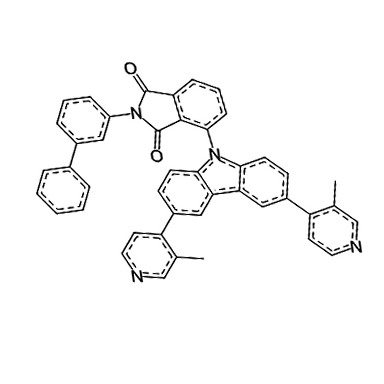 Cc1cnccc1-c1ccc2c(c1)c1cc(-c3ccncc3C)ccc1n2-c1cccc2c1C(=O)N(c1cccc(-c3ccccc3)c1)C2=O